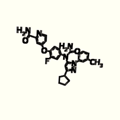 Cc1cccc(-n2nc(C3CCCC3)cc2N(C(N)=O)c2ccc(Oc3ccnc(C(N)=O)c3)c(F)c2)c1